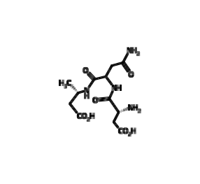 C[C@@H](CC(=O)O)NC(=O)C(CC(N)=O)NC(=O)[C@H](N)CC(=O)O